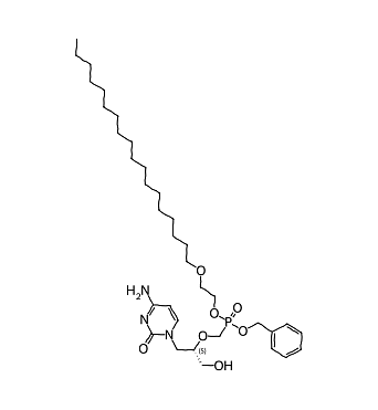 CCCCCCCCCCCCCCCCCCOCCOP(=O)(CO[C@H](CO)Cn1ccc(N)nc1=O)OCc1ccccc1